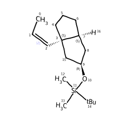 C/C=C\[C@]12CCC[C@H]1C[C@@H](O[Si](C)(C)C(C)(C)C)C2